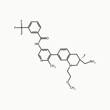 COCCN1C[C@](F)(CN)Cc2ccc(-c3cc(NC(=O)c4cccc(C(F)(F)F)c4)cnc3C)cc21